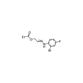 CCC(=O)OC/C=N/Nc1ccc(F)cc1Br